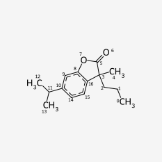 CCCC1(C)C(=O)Oc2cc(C(C)C)ccc21